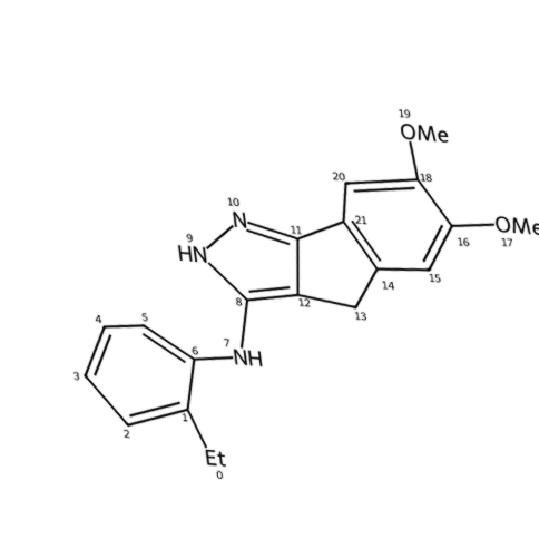 CCc1ccccc1Nc1[nH]nc2c1Cc1cc(OC)c(OC)cc1-2